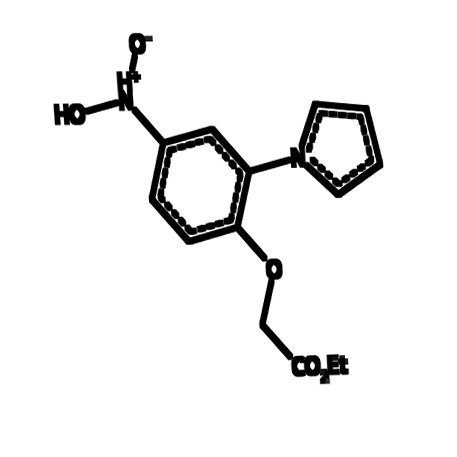 CCOC(=O)COc1ccc([NH+]([O-])O)cc1-n1cccc1